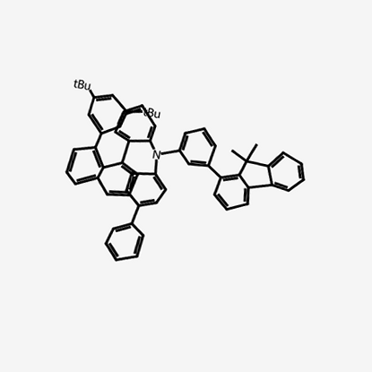 CC(C)(C)c1cc(-c2cccc3cccc(-c4ccccc4N(c4ccc(-c5ccccc5)cc4)c4cccc(-c5cccc6c5C(C)(C)c5ccccc5-6)c4)c23)cc(C(C)(C)C)c1